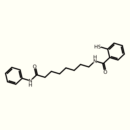 O=C(CCCCCCCNC(=O)c1ccccc1S)Nc1ccccc1